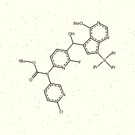 COc1ncnc2c1c(C(O)c1ccc(N(C(=O)OC(C)(C)C)c3ccc(Cl)nc3)nc1F)cn2[Si](C(C)C)(C(C)C)C(C)C